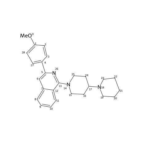 COc1ccc(-c2cc3ccccc3c(N3CCC(N4CCCCC4)CC3)n2)cc1